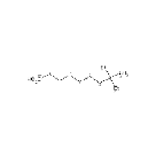 CCC(C)(CC)CCCCCCC(=O)O